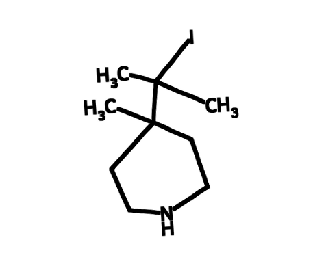 CC(C)(I)C1(C)CCNCC1